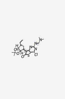 C=C[C@H]1C[C@@H](n2c(=O)sc3c(Cl)nc(/N=C/N(C)C)nc32)[C@@H]2OC(C)(C)O[C@@H]21